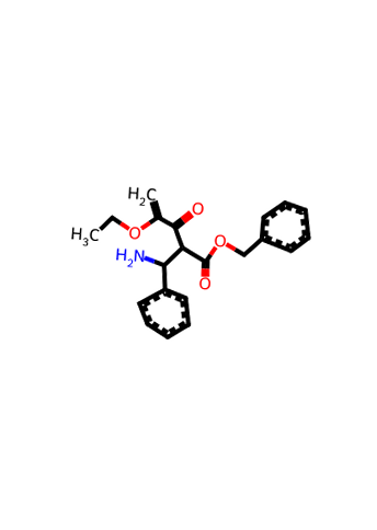 C=C(OCC)C(=O)C(C(=O)OCc1ccccc1)C(N)c1ccccc1